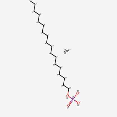 CCCCCCCCCCCCCCCCCCOP(=O)([O-])[O-].[Zn+2]